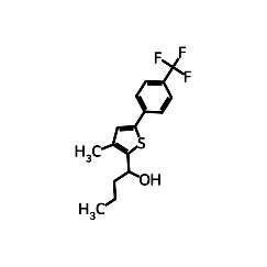 CCCC(O)c1sc(-c2ccc(C(F)(F)F)cc2)cc1C